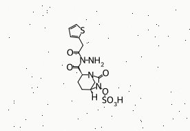 NN(C(=O)Cc1cccs1)C(=O)[C@@H]1CC[C@@H]2CN1C(=O)N2OS(=O)(=O)O